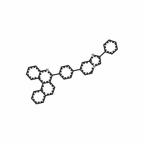 c1ccc(-c2cn3ccc(-c4ccc(-c5nc6ccccc6c6c5ccc5ccccc56)cc4)cc3n2)cc1